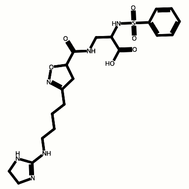 O=C(O)C(CNC(=O)C1CC(CCCCNC2=NCCN2)=NO1)NS(=O)(=O)c1ccccc1